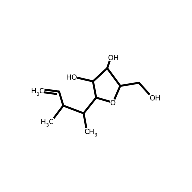 C=CC(C)C(C)C1OC(CO)C(O)C1O